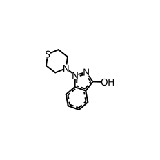 Oc1nn(N2CCSCC2)c2ccccc12